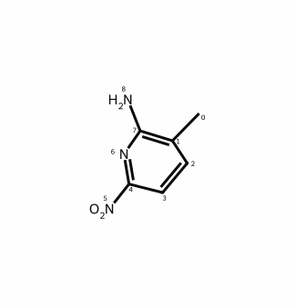 Cc1ccc([N+](=O)[O-])nc1N